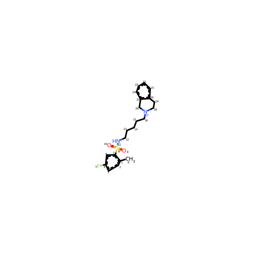 Cc1ccc(F)cc1S(=O)(=O)NCCCCCN1CCc2ccccc2C1